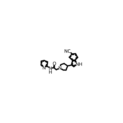 N#Cc1ccc2[nH]cc(C3CCN(CC(=O)Nc4ccccn4)CC3)c2c1